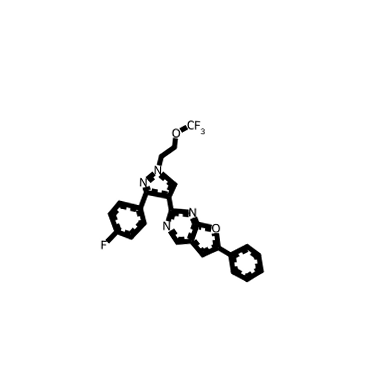 Fc1ccc(-c2nn(CCOC(F)(F)F)cc2-c2ncc3cc(-c4ccccc4)oc3n2)cc1